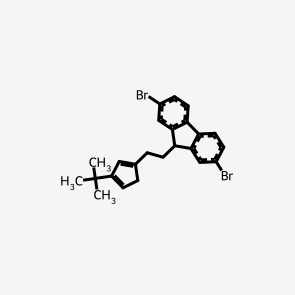 CC(C)(C)C1=CCC(CCC2c3cc(Br)ccc3-c3ccc(Br)cc32)=C1